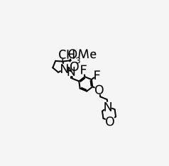 COC(=O)[C@@]1(C)CCCN1/N=C/c1ccc(OCCN2CCOCC2)c(F)c1F